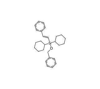 C(=C[Si](OCc1ccccc1)(C1CCCCC1)C1CCCCC1)c1ccccc1